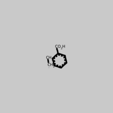 O=C(O)c1ccccc1.[CH2]C